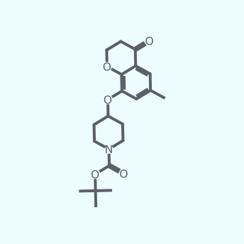 Cc1cc(OC2CCN(C(=O)OC(C)(C)C)CC2)c2c(c1)C(=O)CCO2